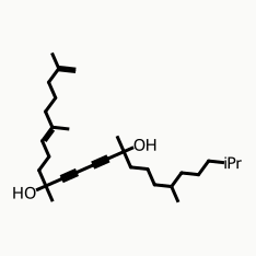 C=C(C)CCC/C(C)=C/CCC(C)(O)C#CC#CC(C)(O)CCCC(C)CCCC(C)C